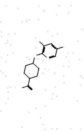 COC(=O)C1CCC(Oc2ncc([N+](=O)[O-])cc2F)CC1